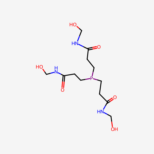 O=C(CCP(CCC(=O)NCO)CCC(=O)NCO)NCO